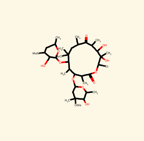 CCC1OC(=O)C(C)C(OC2CC(C)(OC)C(O)C(C)O2)C(C)C(OC2OC(C)CC(NC)C2O)C(C)(OC)CC(C)C(=O)C(C)C(O)C1(C)O